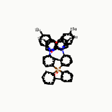 CC(C)(C)c1ccc2c(c1)c1cc(C(C)(C)C)ccc1n2-c1cccc2c1-c1c(-n3c4ccc(C(C)(C)C)cc4c4cc(C(C)(C)C)ccc43)cccc1S21(=O)c2ccccc2-c2ccccc21